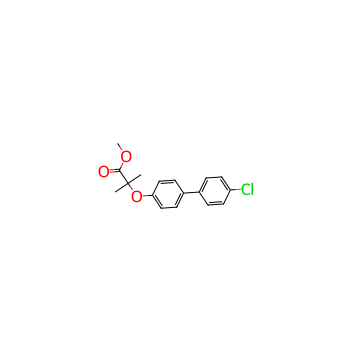 COC(=O)C(C)(C)Oc1ccc(-c2ccc(Cl)cc2)cc1